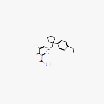 CCc1ccc(C2(Cn3cc(O)c(=O)c(C(=O)NC)n3)CCCC2)cc1